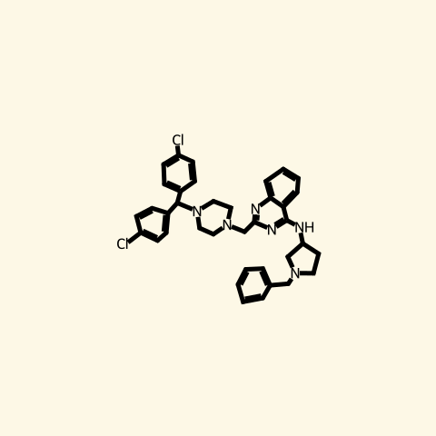 Clc1ccc(C(c2ccc(Cl)cc2)N2CCN(Cc3nc(NC4CCN(Cc5ccccc5)C4)c4ccccc4n3)CC2)cc1